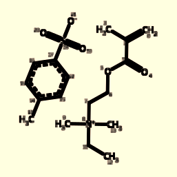 C=C(C)C(=O)OCC[N+](C)(C)CC.Cc1ccc(S(=O)(=O)[O-])cc1